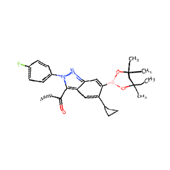 CNC(=O)c1c2cc(C3CC3)c(B3OC(C)(C)C(C)(C)O3)cc2nn1-c1ccc(F)cc1